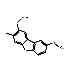 CCCCCCCCOc1ccc2sc3cc(C)c(OCCCCCCCC)cc3c2c1